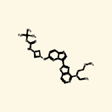 CCN(CCOC)c1nccc2oc(-c3cnc4ccc(O[C@H]5C[C@H](NC(=O)OC(C)(C)C)C5)nn34)cc12